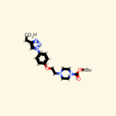 CC(C)(C)OC(=O)N1CCN(CCOc2ccc(-n3cc(CC(=O)O)nn3)cc2)CC1